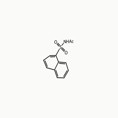 CC(=O)NS(=O)(=O)c1cccc2ccccc12